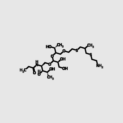 CCC(=O)N[C@@H](COC(OC(COCCSCC(C)CSCCN)[C@@H](C)O)[C@@H](O)CO)[C@H](O)[C@@H](C)O